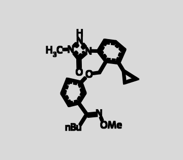 CCCCC(=NOC)c1cccc(OCc2c(C3CC3)cccc2-n2[nH]n(C)c2=O)c1